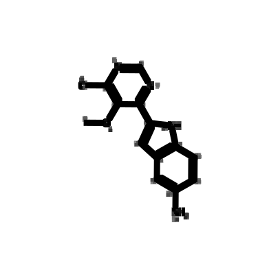 COc1c(Cl)ncnc1-c1cc2cc(N)ccc2[nH]1